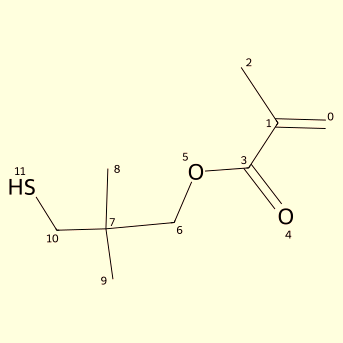 C=C(C)C(=O)OCC(C)(C)CS